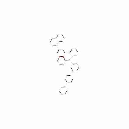 c1ccc(-c2ccc(-c3cccc(N(c4ccccc4)c4ccccc4-c4cccc(-c5cccc6ccccc56)c4)c3)cc2)cc1